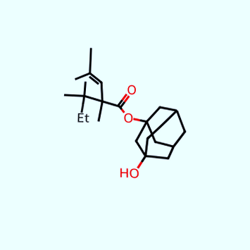 CCC(C)(C)C(C)(C=C(C)C)C(=O)OC12CC3CC(CC(O)(C3)C1)C2